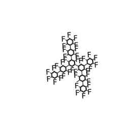 Cc1c(F)c(-c2c(F)c(-c3c(F)c(F)c(F)c(F)c3F)c(F)c(-c3c(F)c(-c4c(F)c(F)c(-c5c(F)c(F)c(F)c(F)c5F)c(F)c4F)c(F)c(-c4c(F)c(F)c(-c5c(F)c(F)c(F)c(F)c5F)c(F)c4F)c3F)c2F)c(F)c(F)c1-c1c(F)c(F)c(F)c(F)c1F